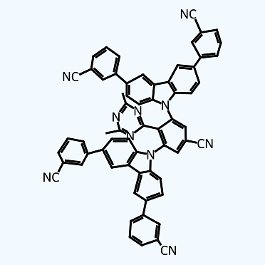 Cc1nc(C)nc(-c2c(-n3c4ccc(-c5cccc(C#N)c5)cc4c4cc(-c5cccc(C#N)c5)ccc43)cc(C#N)cc2-n2c3ccc(-c4cccc(C#N)c4)cc3c3cc(-c4cccc(C#N)c4)ccc32)n1